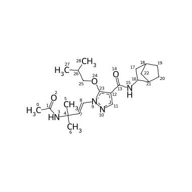 CC(=O)NC(C)(C)/C=C/n1ncc(C(=O)NC2CC3CCC2C3)c1OCC(C)C